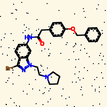 O=C(Cc1ccc(OCc2ccccc2)cc1)Nc1ccc2c(Br)nn(CCN3CCCC3)c2c1